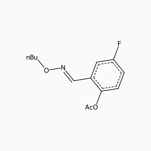 CCCCON=Cc1cc(F)ccc1OC(C)=O